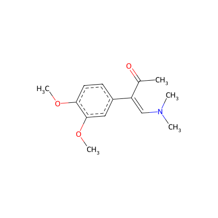 COc1ccc(C(=CN(C)C)C(C)=O)cc1OC